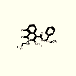 CCNn1c(C)c(C(=O)N[C@@H](CC)c2ccccc2)c2cccc(F)c2c1=O